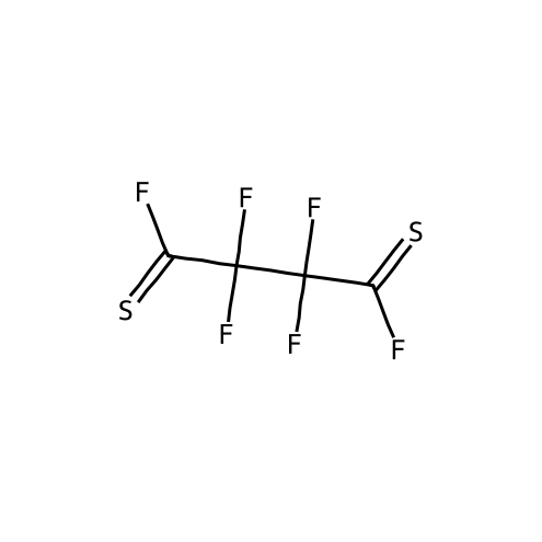 FC(=S)C(F)(F)C(F)(F)C(F)=S